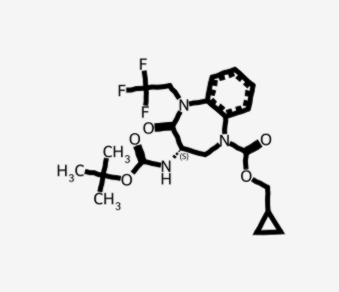 CC(C)(C)OC(=O)N[C@H]1CN(C(=O)OCC2CC2)c2ccccc2N(CC(F)(F)F)C1=O